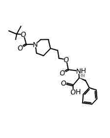 CC(C)(C)OC(=O)N1CCC(CCOC(=O)N[C@@H](Cc2ccccc2)C(=O)O)CC1